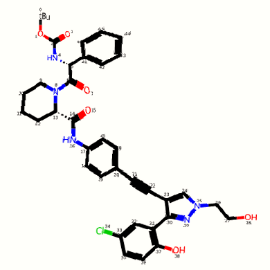 CC(C)(C)OC(=O)N[C@@H](C(=O)N1CCCC[C@H]1C(=O)Nc1ccc(C#Cc2cn(CCO)nc2-c2cc(Cl)ccc2O)cc1)c1ccccc1